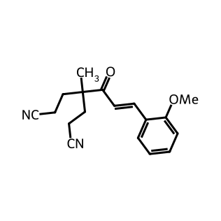 COc1ccccc1/C=C/C(=O)C(C)(CCC#N)CCC#N